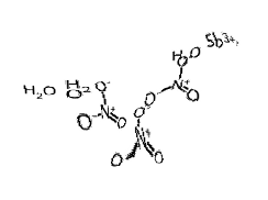 O.O.O.O=[N+]([O-])[O-].O=[N+]([O-])[O-].O=[N+]([O-])[O-].[Sb+3]